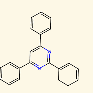 C1=CCCC(c2nc(-c3ccccc3)cc(-c3ccccc3)n2)=C1